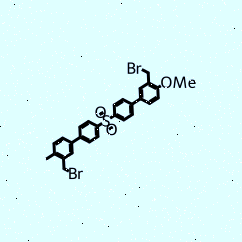 COc1ccc(-c2ccc(S(=O)(=O)c3ccc(-c4ccc(C)c(CBr)c4)cc3)cc2)cc1CBr